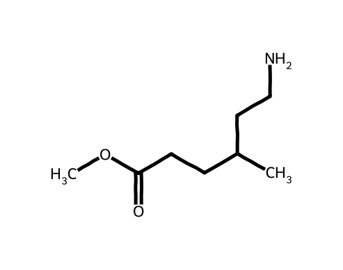 COC(=O)CCC(C)CCN